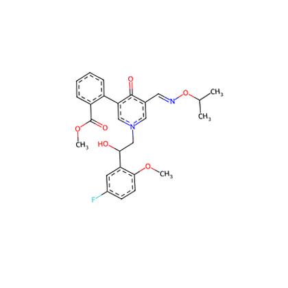 COC(=O)c1ccccc1-c1cn(CC(O)c2cc(F)ccc2OC)cc(C=NOC(C)C)c1=O